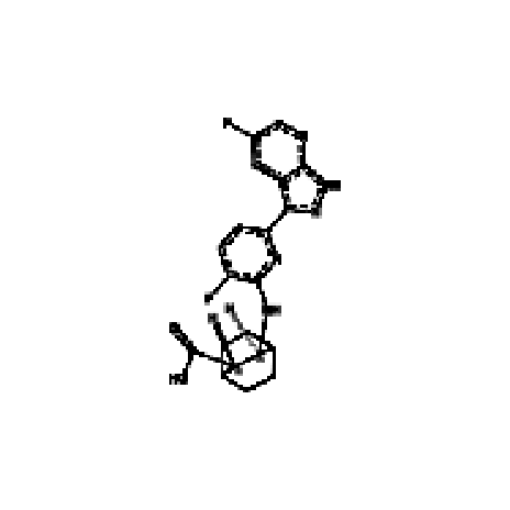 O=C(O)[C@H]1C2CCC(CC2)[C@@H]1Nc1nc(-c2n[nH]c3ncc(F)cc23)ccc1F